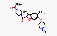 COC(=O)N1CCN(C(=O)c2oc3cc(OC4CCN(C(C)C)CC4)c(C)cc3c2C(C)C)CC1